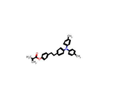 C=C(C)C(=O)Oc1ccc(CCc2ccc(N(c3ccc(C)cc3)c3ccc(C)cc3)cc2)cc1